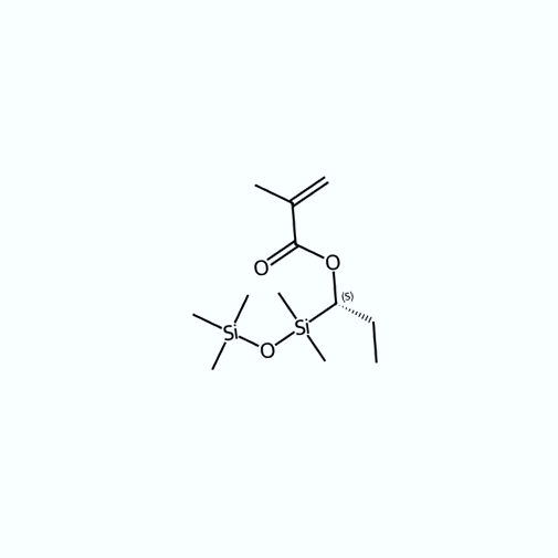 C=C(C)C(=O)O[C@H](CC)[Si](C)(C)O[Si](C)(C)C